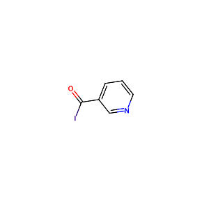 O=C(I)c1cccnc1